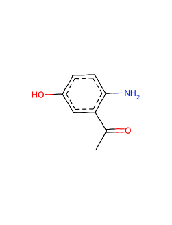 CC(=O)c1cc(O)ccc1N